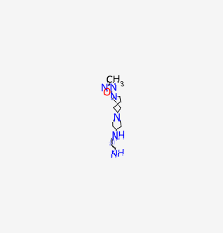 Cc1noc(N2CCC3(CC(N4CCC(N/C=C\C=N)CC4)C3)C2)n1